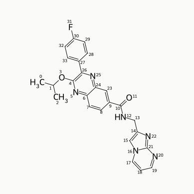 CC(C)Oc1nc2ccc(C(=O)NCc3cn4cccnc4n3)cc2nc1-c1ccc(F)cc1